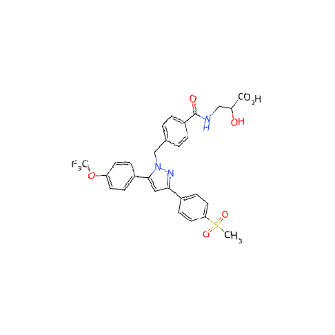 CS(=O)(=O)c1ccc(-c2cc(-c3ccc(OC(F)(F)F)cc3)n(Cc3ccc(C(=O)NCC(O)C(=O)O)cc3)n2)cc1